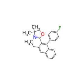 CCc1cc2ccccc2c(-c2ccc(F)cc2)c1C1=NC(C)(C)CO1